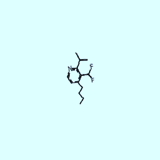 CCCCc1ccnc(C(C)C)c1C(F)F